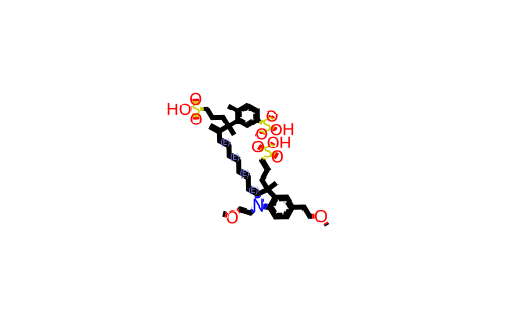 C=C(/C=C/C=C/C=C/C=C1/N(CCOC)c2ccc(CCOC)cc2C1(C)CCCS(=O)(=O)O)C(C)(CCCS(=O)(=O)O)c1cc(S(=O)(=O)O)ccc1C